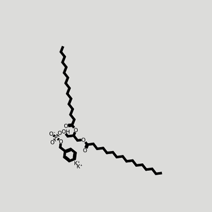 CCCCCCCCCCCCCCCC(=O)OCC(CO)OC(=O)CCCCCCCCCCCCCCC.O=P([O-])([O-])OCc1ccccc1.[K+].[K+]